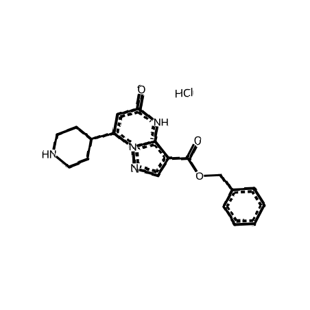 Cl.O=C(OCc1ccccc1)c1cnn2c(C3CCNCC3)cc(=O)[nH]c12